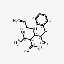 C=CCNC(C(C)Cc1ccccc1)C(C(=O)S)C(C)O